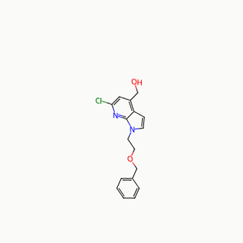 OCc1cc(Cl)nc2c1ccn2CCOCc1ccccc1